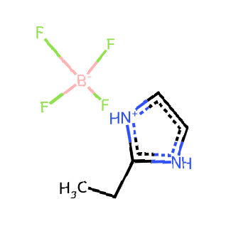 CCc1[nH]cc[nH+]1.F[B-](F)(F)F